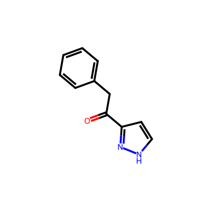 O=C(Cc1ccccc1)c1cc[nH]n1